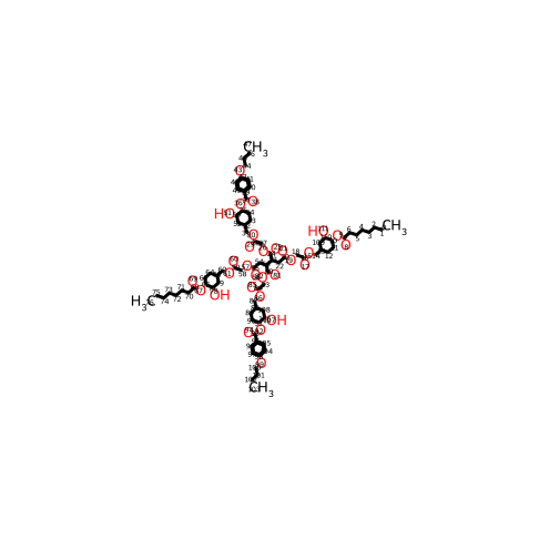 CCCCCCCC(=O)OC1CCC(COC(=O)COC(=O)CC(C(=O)OCC(=O)OCC2CCC(OC(=O)c3ccc(OCCCC)cc3)C(O)C2)C(CC(=O)OCC(=O)OCC2CCC(OC(=O)CCCCCCC)C(O)C2)C(=O)OCC(=O)OCC2CCC(OC(=O)c3ccc(OCCCC)cc3)C(O)C2)CC1O